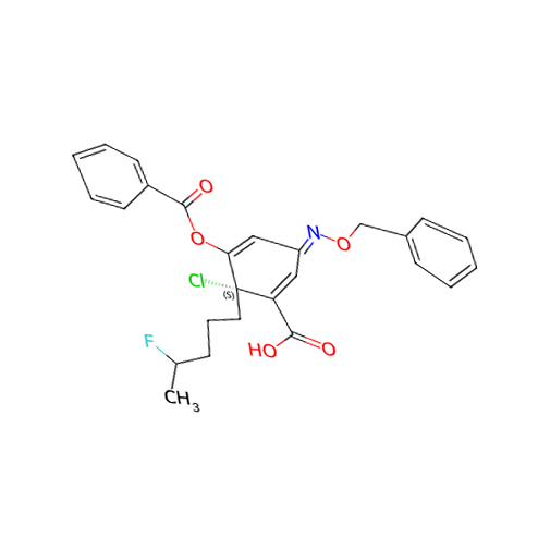 CC(F)CCC[C@@]1(Cl)C(OC(=O)c2ccccc2)=CC(=NOCc2ccccc2)C=C1C(=O)O